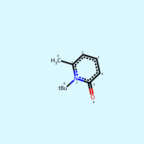 Cc1cccc(=O)n1C(C)(C)C